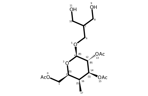 CC(=O)OC[C@H]1O[C@@H](OCC(CO)CO)[C@H](OC(C)=O)[C@@H](OC(C)=O)[C@H]1C